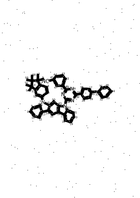 CC1(C)c2ccc(-n3c4ccccc4c4cc5c6ccccc6n(-c6nc(-c7ccc(-c8ccccc8)cc7)nc(-c7cccc(C#N)c7)n6)c5cc43)cc2C(C)(C)C1(C)C